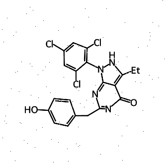 CCc1[nH]n(-c2c(Cl)cc(Cl)cc2Cl)c2nc(Cc3ccc(O)cc3)nc(=O)c1-2